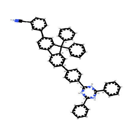 N#Cc1cccc(-c2ccc3c(c2)C(c2ccccc2)(c2ccccc2)c2cc(-c4ccc(-c5nc(-c6ccccc6)nc(-c6ccccc6)n5)cc4)ccc2-3)c1